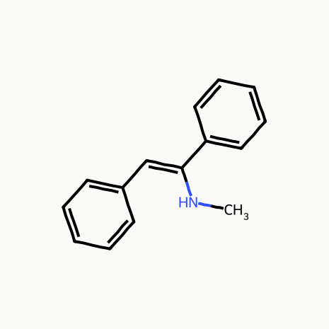 CNC(=Cc1ccccc1)c1ccccc1